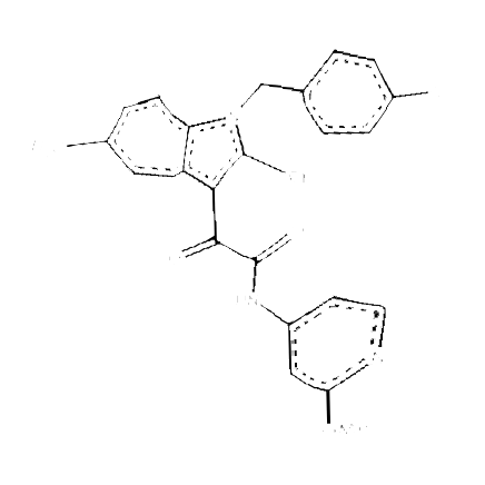 COc1cc(NC(=O)C(=O)c2c(C)n(Cc3ccc(Cl)cc3)c3ccc(C)cc23)ccn1